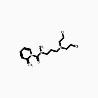 C=C1C=CC=CN1C(=O)N(N)CCCN(CCCl)CCCl